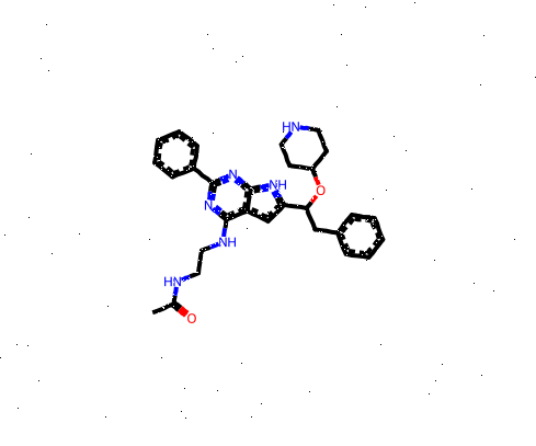 CC(=O)NCCNc1nc(-c2ccccc2)nc2[nH]c(C(Cc3ccccc3)OC3CCNCC3)cc12